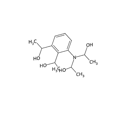 CC(O)c1cccc(N(C(C)O)C(C)O)c1C(C)O